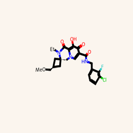 CCN1C(=O)c2c(O)c(=O)c(C(=O)NCc3cccc(Cl)c3F)cn2C[C@]12C[C@H](COC)C2